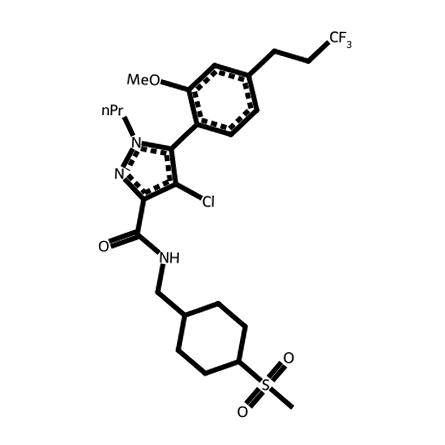 CCCn1nc(C(=O)NCC2CCC(S(C)(=O)=O)CC2)c(Cl)c1-c1ccc(CCC(F)(F)F)cc1OC